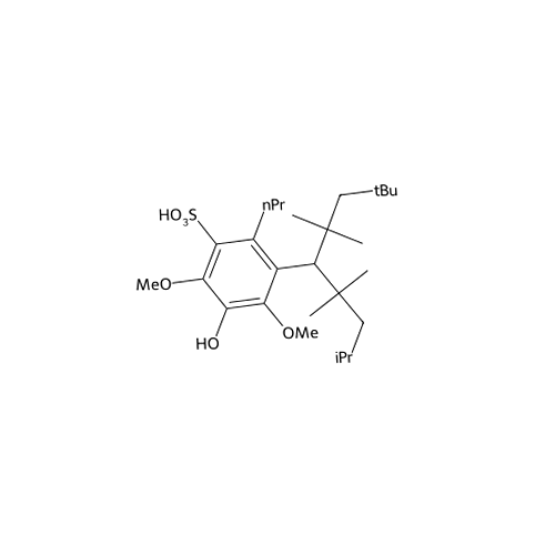 CCCc1c(C(C(C)(C)CC(C)C)C(C)(C)CC(C)(C)C)c(OC)c(O)c(OC)c1S(=O)(=O)O